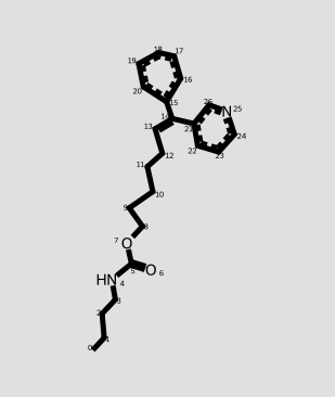 CCCCNC(=O)OCCCCCC=C(c1ccccc1)c1cccnc1